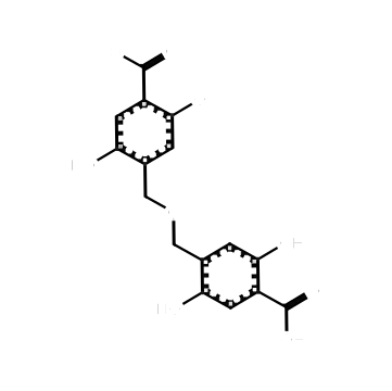 O=C(O)c1cc(O)c(COCc2cc(O)c(C(=O)O)cc2O)cc1O